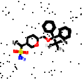 CC([C@H]1CC[C@H](CO[Si](c2ccccc2)(c2ccccc2)C(C)(C)C)OC1)S(N)(=O)=O